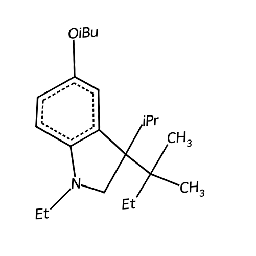 CCN1CC(C(C)C)(C(C)(C)CC)c2cc(OCC(C)C)ccc21